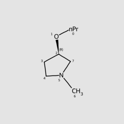 CCCO[C@@H]1CCN(C)C1